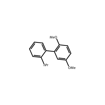 CCCc1ccccc1-c1cc(OC)ccc1OC